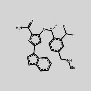 C[C@@H](Oc1cc(-c2cnc3ccccn23)sc1C(N)=O)c1ccc(CNC(C)(C)C)cc1C(F)F